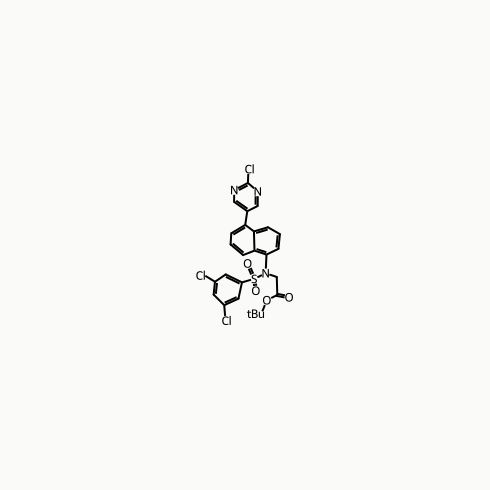 CC(C)(C)OC(=O)CN(c1cccc2c(-c3cnc(Cl)nc3)cccc12)S(=O)(=O)c1cc(Cl)cc(Cl)c1